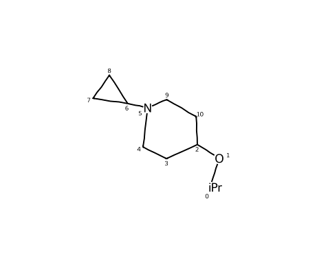 CC(C)OC1CCN(C2CC2)CC1